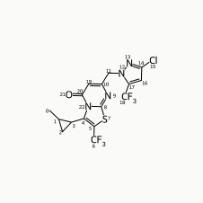 CC1CC1c1c(C(F)(F)F)sc2nc(Cn3nc(Cl)cc3C(F)(F)F)cc(=O)n12